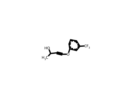 CC(O)C#COc1cccc(C(F)(F)F)c1